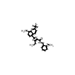 COc1ccc(-c2nc(C(=O)NCc3ccccc3SC)c(CN)o2)c2ccc(C(F)(F)F)nc12